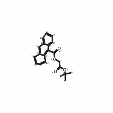 CC(C)(C)OC(=O)COC(=O)c1c2ccccc2cc2ccccc12